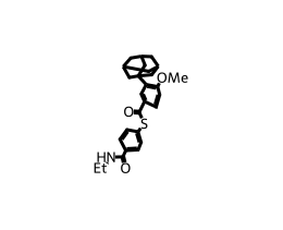 CCNC(=O)c1ccc(SC(=O)c2ccc(OC)c(C34CC5CC(CC(C5)C3)C4)c2)cc1